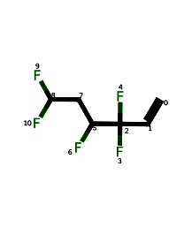 C=CC(F)(F)C(F)CC(F)F